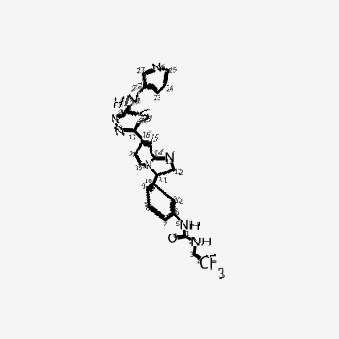 O=C(NCC(F)(F)F)Nc1cccc(C2CN=C3C=C(c4nnc(Nc5cccnc5)s4)C=CN32)c1